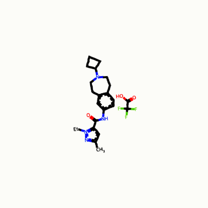 CCn1nc(C)cc1C(=O)Nc1ccc2c(c1)CCN(C1CCC1)CC2.O=C(O)C(F)(F)F